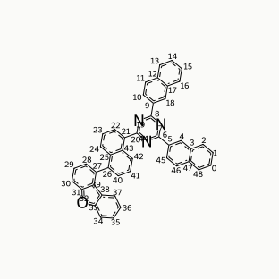 c1ccc2cc(-c3nc(-c4ccc5ccccc5c4)nc(-c4cccc5c(-c6cccc7oc8ccccc8c67)cccc45)n3)ccc2c1